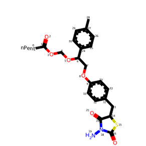 CCCCCC(=O)OCOC(COc1ccc(CC2SC(=O)N(N)C2=O)cc1)c1ccc(C)cc1